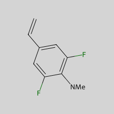 C=Cc1cc(F)c(NC)c(F)c1